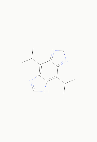 CC(C)c1c2c(c(C(C)C)c3[nH]cnc13)=NCN=2